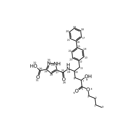 CCCCOC(=O)C(O)CC(Cc1ccc(-c2ccccc2)cc1)NC(=O)c1cc(C(=O)O)n[nH]1